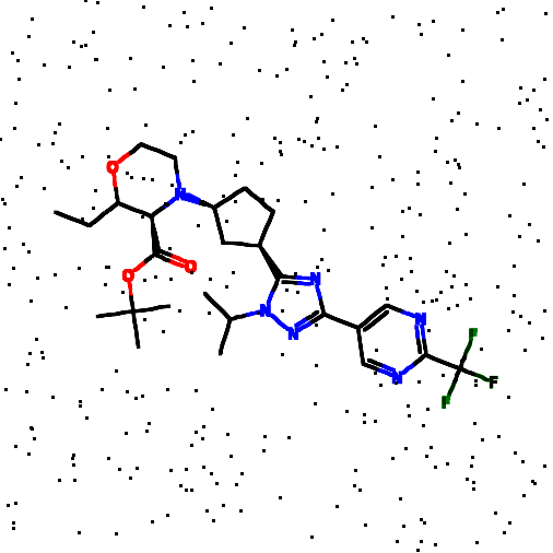 CCC1OCCN([C@H]2CC[C@@H](c3nc(-c4cnc(C(F)(F)F)nc4)nn3C(C)C)C2)[C@H]1C(=O)OC(C)(C)C